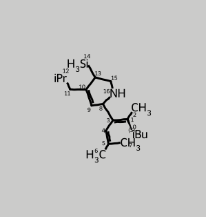 CC[C@H](C)C(C)=C(C=C(C)C)C1C=C(CC(C)C)C([SiH3])CN1